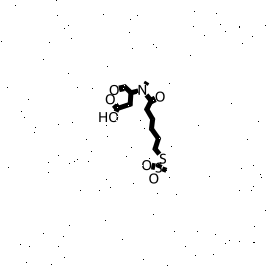 CN(C(=O)CCCCCSS(C)(=O)=O)C(C=O)CC(=O)O